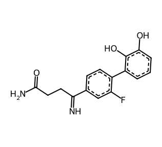 N=C(CCC(N)=O)c1ccc(-c2cccc(O)c2O)c(F)c1